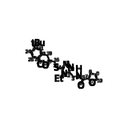 CCn1c(CNC(=O)c2ccco2)nnc1SCC(=O)Cc1cc(C(C)(C)C)ccc1Cl